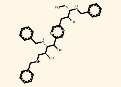 OC[C@H](NCc1ccccc1)[C@@H](O)Cc1cnc(C(O)[C@@H](NCc2ccccc2)[C@@H](O)CNCc2ccccc2)cn1